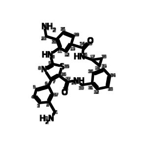 NCc1cccc(-c2nc(Nc3cc(C(=O)NC4CC4)ccc3CN)sc2C(=O)NCc2ccccc2)c1